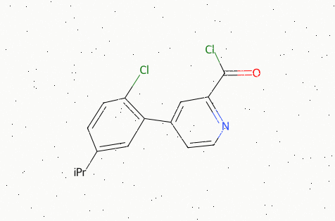 CC(C)c1ccc(Cl)c(-c2ccnc(C(=O)Cl)c2)c1